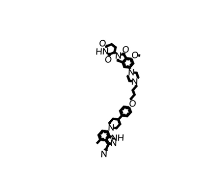 COc1cc(N2CCN(CCCCOc3ccc(C4CCN(c5ccc(C)c6c(C#N)n[nH]c56)CC4)cc3)CC2)cc2c1C(=O)N(C1CCC(=O)NC1=O)C2